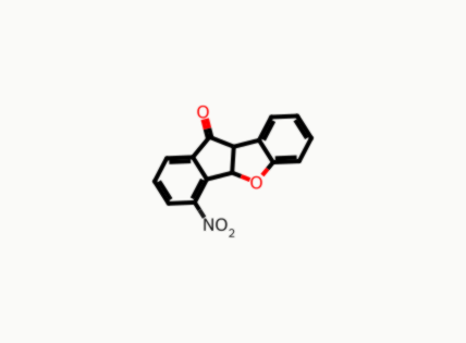 O=C1c2cccc([N+](=O)[O-])c2C2Oc3ccccc3C12